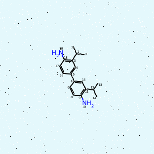 CC(C)c1cc(-c2ccc(N)c(C(C)C)c2)ccc1N